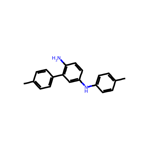 Cc1ccc(Nc2ccc(N)c(-c3ccc(C)cc3)c2)cc1